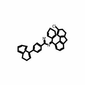 C/N=C(\N=C(/C1=CCCC=C1)c1cccc2c1C1=C(CCC(Cl)=C1)C2)c1ccc(C2=CCCc3ccccc32)cc1